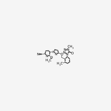 COc1nc(C#N)ccc1-n1ccc(OCc2c(C)cccc2-n2nnn(C)c2=O)n1